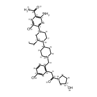 CC[C@H]1CN(c2nc(N)c(C(N)=O)nc2Cl)CCN1C1CCN(Cc2ccc(Cl)cc2CC(=O)N2CC[C@H](O)C2)CC1